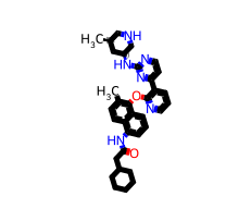 Cc1ccc2c(NC(=O)CC3CCCCC3)cccc2c1Oc1ncccc1-c1ccnc(N[C@@H]2CNC[C@H](C)C2)n1